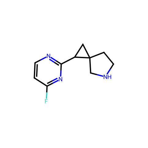 Fc1ccnc(C2CC23CCNC3)n1